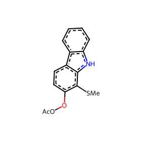 CSc1c(OOC(C)=O)ccc2c1[nH]c1ccccc12